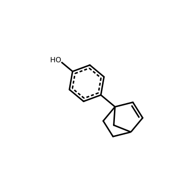 Oc1ccc(C23C=CC(CC2)C3)cc1